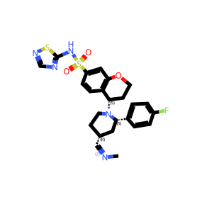 C/N=C\[C@@H]1CCN([C@H]2CCOc3cc(S(=O)(=O)Nc4ncns4)ccc32)[C@H](c2ccc(F)cc2)C1